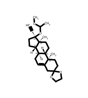 C#C[C@@]1(OC(C)OC)CC[C@H]2[C@@H]3CC=C4CC5(CC[C@]4(C)[C@H]3CC[C@@]21C)OCCO5